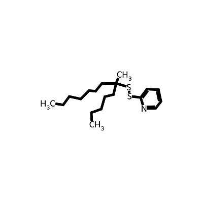 CCCCCCCC(C)(CCCCC)SSc1ccccn1